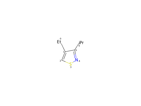 CCc1csnc1C(C)C